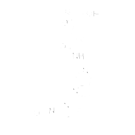 C[C@@H]1CN(c2cccc(-c3ccc4cnc(CNC(=O)c5ccc6c(c5)S(=O)(=O)C[C@@H]6O)cc4n3)n2)C[C@H](C)O1